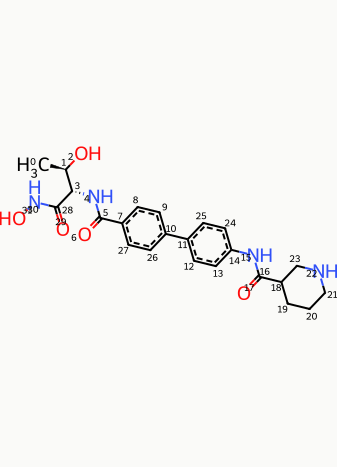 C[C@@H](O)[C@H](NC(=O)c1ccc(-c2ccc(NC(=O)C3CCCNC3)cc2)cc1)C(=O)NO